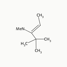 C/C=C(\NC)C(C)(C)C